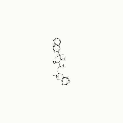 CN1Cc2ccccc2C[C@H]1CNC(=O)NC(C)(C)c1ccc2ccccc2c1